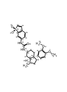 COc1ccc([C@@]23CC[C@@H](NC(=O)Nc4ccc5c(c4)S(=O)(=O)C=C5)C[C@@H]2N(C)CC3)cc1OC